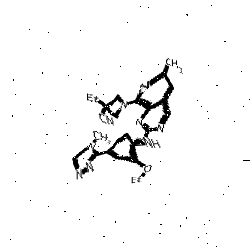 CCOc1cc(-c2nncn2C)ccc1Nc1ncc2cc(C)nc(N3CC(C#N)(CC)C3)c2n1